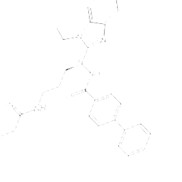 CCn1c([C@H](CCCNC(=N)CF)NC(=O)c2ccc(-c3ccccc3)cc2)nc2ccccc21